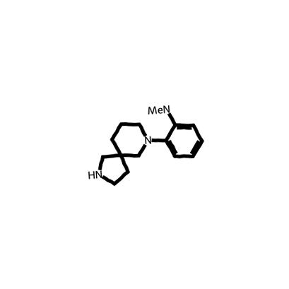 CNc1ccccc1N1CCCC2(CCNC2)C1